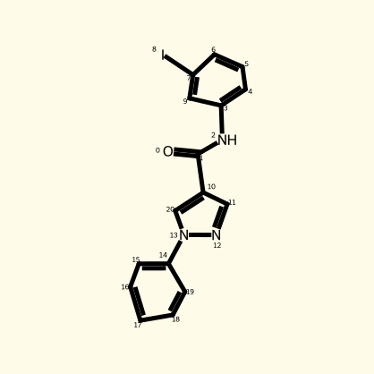 O=C(Nc1cccc(I)c1)c1cnn(-c2ccccc2)c1